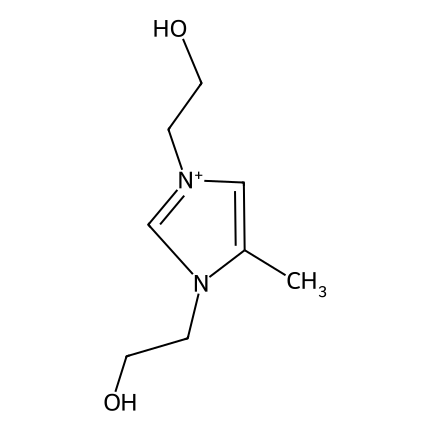 Cc1c[n+](CCO)cn1CCO